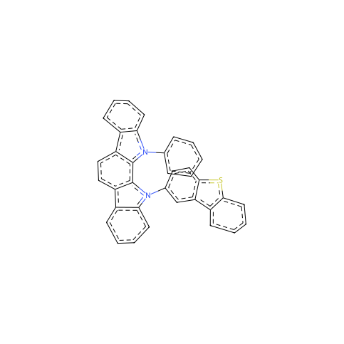 c1ccc(-n2c3ccccc3c3ccc4c5ccccc5n(-c5ccc6sc7ccccc7c6c5)c4c32)cc1